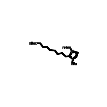 CCCCCCCCCCCCCCCCCCc1n(CCCC)cc[n+]1CCCCCC